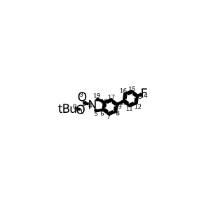 CC(C)(C)OC(=O)N1Cc2ccc(-c3ccc(F)cc3)cc2C1